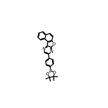 CC1(C)OB(c2ccc(-c3cnc4c(n3)oc3ccc5ccccc5c34)cc2)OC1(C)C